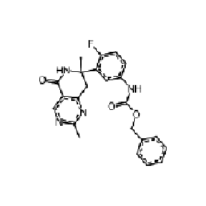 Cc1ncc2c(n1)C[C@@](C)(c1cc(NC(=O)OCc3ccccc3)ccc1F)NC2=O